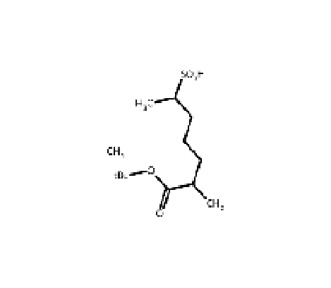 C.CC(CCCC(C)S(=O)(=O)O)C(=O)OC(C)(C)C